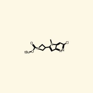 Cn1c(C2CN(C(=O)OC(C)(C)C)C2)cc2nnc(Cl)cc21